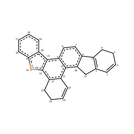 C1=CC2=C(CC1)c1ccc3c(c4c(c5sc6ccccc6c53)CCC=C4)c1C2